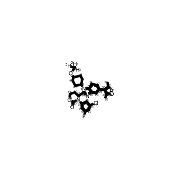 [2H]C([2H])([2H])OC1CCC(n2c(C3CCOC(=O)N3c3cc(F)cc(Cl)c3)nc3cc(-c4c(C)noc4C)ccc32)CC1